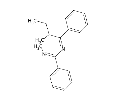 CCC(C)/C(=N\C(=N/C)c1ccccc1)c1ccccc1